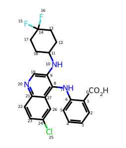 O=C(O)c1ccccc1Nc1c(NC2CCC(F)(F)CC2)cnc2ccc(Cl)cc12